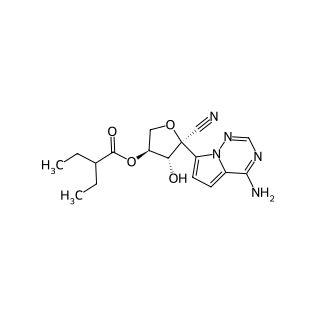 CCC(CC)C(=O)O[C@H]1CO[C@@](C#N)(c2ccc3c(N)ncnn23)[C@@H]1O